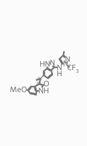 COc1ccc2c(c1)[C@]1(C[C@H]1c1ccc3c(Nc4cc(C)nn4C(F)(F)F)n[nH]c3c1)C(=O)N2